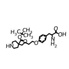 CC(C)(C)OC(=O)C1(CCCCOc2ccc(CC(N)C(=O)O)cc2)CCNCC1